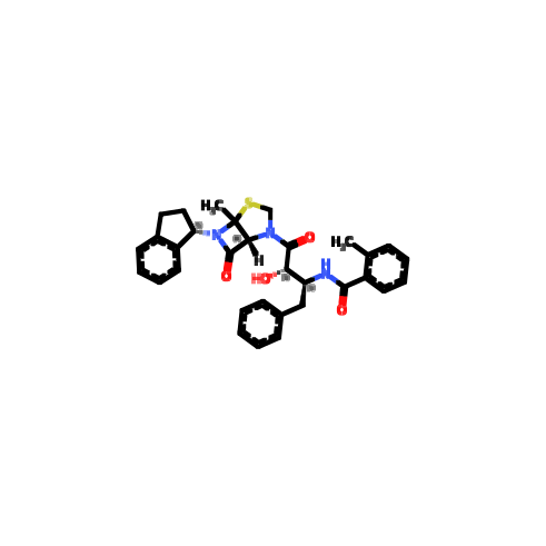 Cc1ccccc1C(=O)N[C@@H](Cc1ccccc1)[C@H](O)C(=O)N1CSC2(C)[C@H]1C(=O)N2[C@H]1CCc2ccccc21